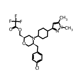 Cc1cc(C2CCC(N3C[C@H](COC(=O)C(F)(F)F)OC[C@@H]3Cc3ccc(Cl)cc3)CC2)nn1C